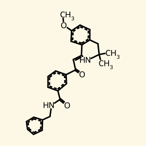 COc1ccc2c(c1)C(=CC(=O)c1cccc(C(=O)NCc3ccccc3)c1)NC(C)(C)C2